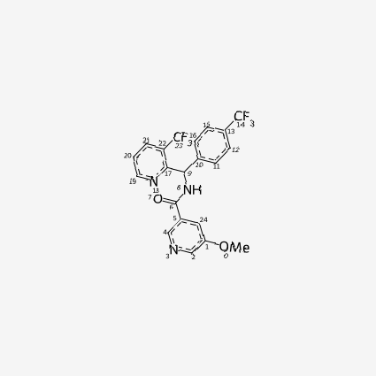 COc1cncc(C(=O)NC(c2ccc(C(F)(F)F)cc2)c2ncccc2C(F)(F)F)c1